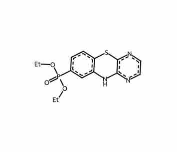 CCOP(=O)(OCC)c1ccc2c(c1)Nc1nccnc1S2